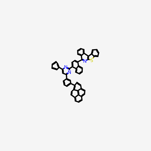 c1ccc(-c2cc(-c3cccc(-c4ccc5ccc6cccc7ccc4c5c67)c3)nc(-c3ccc(-c4nc5sc6ccccc6c5c5ccccc45)c4ccccc34)n2)cc1